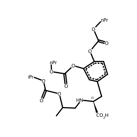 CCCOC(=O)Oc1ccc(C[C@H](NCC(C)OC(=O)OC(C)C)C(=O)O)cc1OC(=O)OCCC